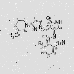 CC1CCCN(c2ccn(-c3cc(-c4c(F)cccc4C#N)nc4c3C(=O)NC4)n2)C1